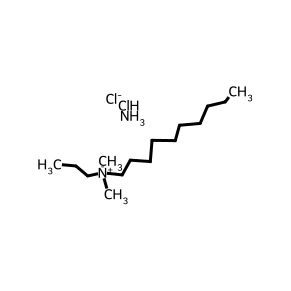 CCCCCCCCCC[N+](C)(C)CCC.Cl.N.[Cl-]